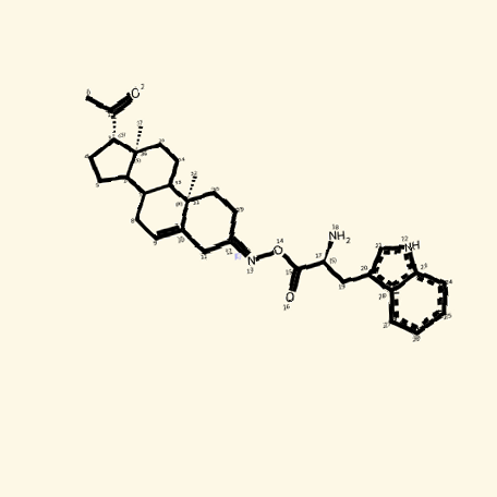 CC(=O)[C@H]1CCC2C3CC=C4C/C(=N/OC(=O)[C@@H](N)Cc5c[nH]c6ccccc56)CC[C@]4(C)C3CC[C@@]21C